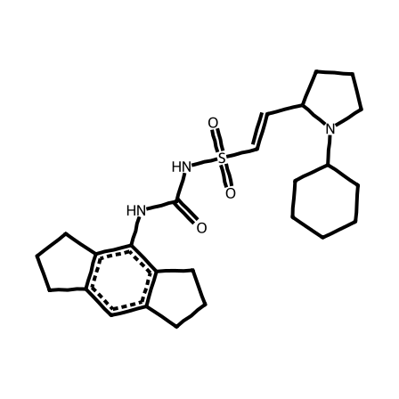 O=C(Nc1c2c(cc3c1CCC3)CCC2)NS(=O)(=O)/C=C/C1CCCN1C1CCCCC1